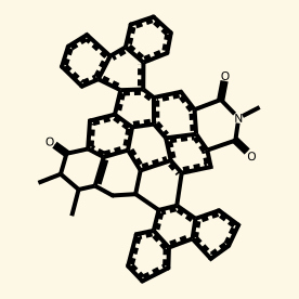 CC1C(=O)c2cc3c4c5c6c7c(cc8c9c(cc(c%10c%11ccccc%11c%11ccccc%11c3%10)c4c97)C(=O)N(C)C8=O)-c3c(c4ccccc4c4ccccc34)C6CC(=c25)C1C